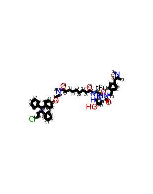 Cc1ncsc1-c1ccc(CNC(=O)[C@@H]2C[C@@H](O)CN2C(=O)C(NC(=O)CCCCCCCC(=O)N(C)CCOc2ccc(/C(=C(/CCCl)c3ccccc3)c3ccccc3)cc2)C(C)(C)C)cc1